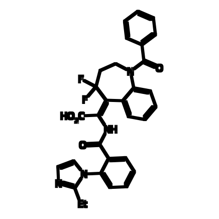 CCc1nccn1-c1ccccc1C(=O)NC(C(=O)O)=C1c2ccccc2N(C(=O)c2ccccc2)CCC1(F)F